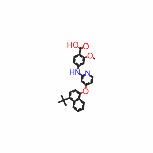 COc1cc(Nc2cc(Oc3ccc(C(C)(C)C)c4ccccc34)ccn2)ccc1C(=O)O